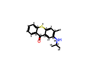 Cc1cc2sc3ccccc3c(=O)c2cc1NC(C)C